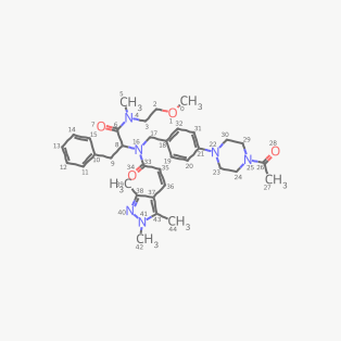 COCCN(C)C(=O)C(Cc1ccccc1)N(Cc1ccc(N2CCN(C(C)=O)CC2)cc1)C(=O)C=Cc1c(C)nn(C)c1C